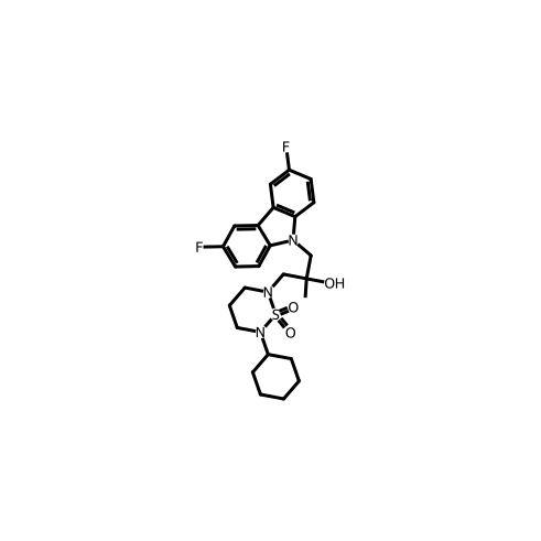 CC(O)(CN1CCCN(C2CCCCC2)S1(=O)=O)Cn1c2ccc(F)cc2c2cc(F)ccc21